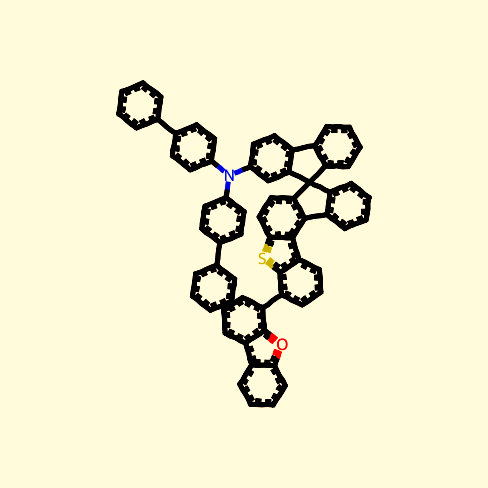 c1ccc(-c2ccc(N(c3ccc(-c4ccccc4)cc3)c3ccc4c(c3)C3(c5ccccc5-4)c4ccccc4-c4c3ccc3sc5c(-c6cccc7c6oc6ccccc67)cccc5c43)cc2)cc1